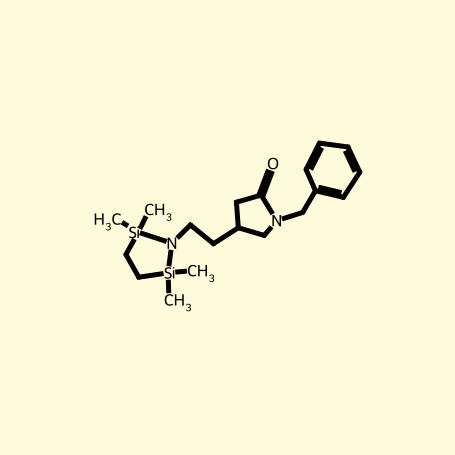 C[Si]1(C)CC[Si](C)(C)N1CCC1CC(=O)N(Cc2ccccc2)C1